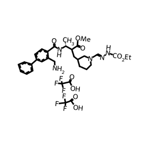 CCOC(=O)NN=CN1CCCC(CC(C(=O)OC)[C@@H](C)NC(=O)c2ccc(-c3ccccc3)cc2CN)C1.O=C(O)C(F)(F)F.O=C(O)C(F)(F)F